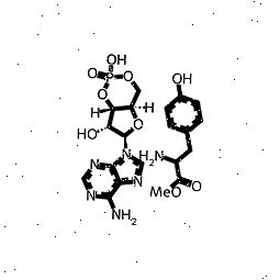 COC(=O)C(N)Cc1ccc(O)cc1.Nc1ncnc2c1ncn2[C@@H]1O[C@@H]2COP(=O)(O)O[C@H]2[C@H]1O